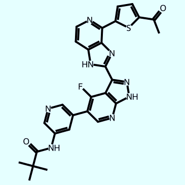 CC(=O)c1ccc(-c2nccc3[nH]c(-c4n[nH]c5ncc(-c6cncc(NC(=O)C(C)(C)C)c6)c(F)c45)nc23)s1